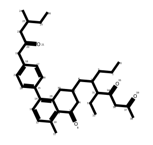 CCCC(CC1CC(=O)c2c(C)ccc(-c3ccc(CC(=O)CC(C)CC)cc3)c2C1)C(CC)C(=O)CC(C)=O